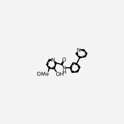 COc1ccnc(C(=O)Nc2cccc(-c3cccnc3)c2)c1O